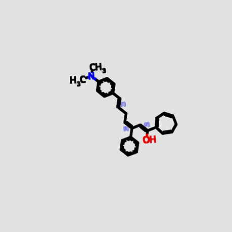 CN(C)c1ccc(/C=C/C/C=C(\C=C(/O)C2=CC=CCC=C2)c2ccccc2)cc1